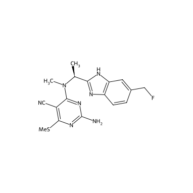 CSc1nc(N)nc(N(C)[C@@H](C)c2nc3ccc(CF)cc3[nH]2)c1C#N